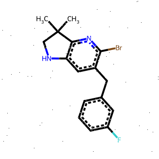 CC1(C)CNc2cc(Cc3cccc(F)c3)c(Br)nc21